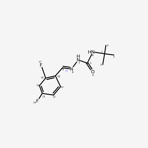 CC(C)(C)NC(=O)N/N=C/c1ccc(F)cc1F